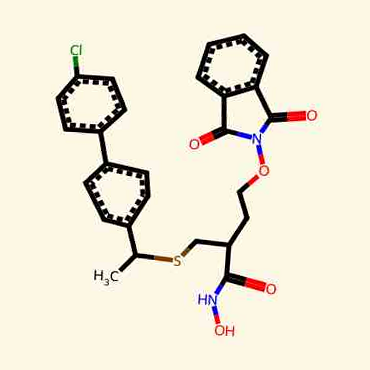 CC(SCC(CCON1C(=O)c2ccccc2C1=O)C(=O)NO)c1ccc(-c2ccc(Cl)cc2)cc1